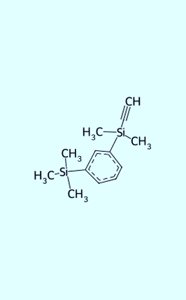 C#C[Si](C)(C)c1cccc([Si](C)(C)C)c1